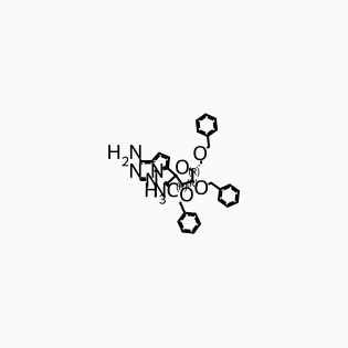 C[C@@]1(OCc2ccccc2)[C@H](OCc2ccccc2)[C@@H](COCc2ccccc2)OC1(C#N)c1ccc2c(N)ncnn12